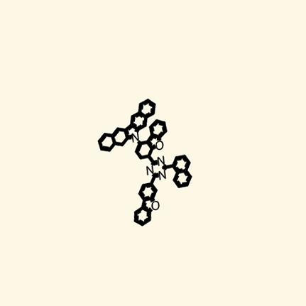 C1=CC2=Cc3c(n(C4=CCC(c5nc(-c6ccc7c(c6)oc6ccccc67)nc(-c6cccc7ccccc67)n5)c5oc6ccccc6c54)c4cc5ccccc5cc34)CC2C=C1